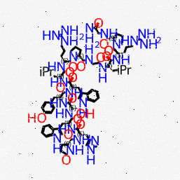 CC(C)C[C@H](NC(=O)CNC(=O)[C@@H]1CCCN1C(=O)[C@H](CCCNC(=N)N)NC(=O)[C@H](CC(C)C)NC(=O)[C@@H](Cc1c[nH]c2ccccc12)NC(=O)[C@H](Cc1ccc(O)cc1)NC(=O)[C@H](CO)NC(=O)[C@H](Cc1c[nH]c2ccccc12)NC(=O)[C@H](Cc1c[nH]cn1)NC(=O)[C@@H]1CCC(=O)N1)C(=O)N[C@@H](CCCNC(=N)N)C(=O)N1CCC[C@H]1C(=O)NCC(N)=O